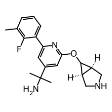 Cc1cccc(-c2cc(C(C)(C)N)cc(OC3[C@H]4CNC[C@@H]34)n2)c1F